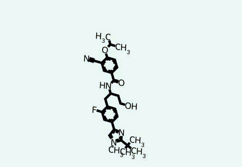 CC(C)Oc1ccc(C(=O)NC(CCO)Cc2ccc(-c3cn(C)c(C(C)(C)C)n3)cc2F)cc1C#N